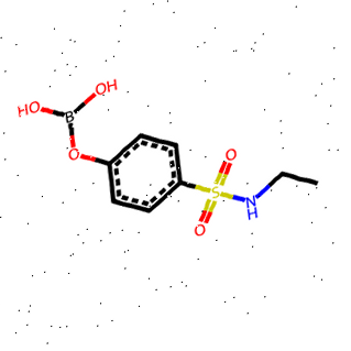 CCNS(=O)(=O)c1ccc(OB(O)O)cc1